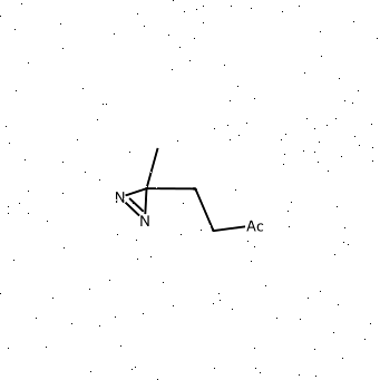 CC(=O)CCC1(C)N=N1